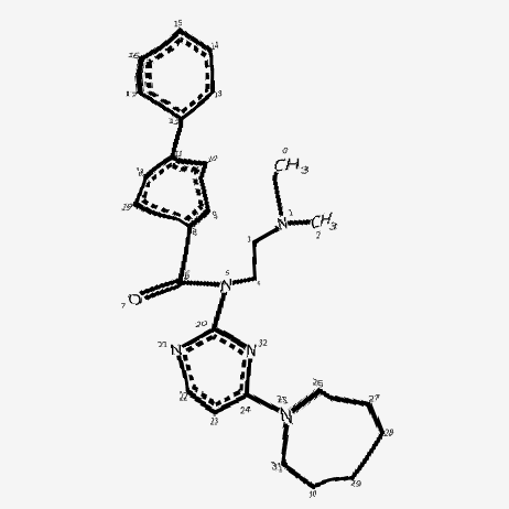 CN(C)CCN(C(=O)c1ccc(-c2ccccc2)cc1)c1nccc(N2CCCCCC2)n1